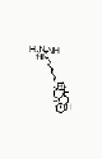 C[C@]12CCCC[C@H]1CC[C@H]1[C@H]3CC[C@@H](/C=C/C=C/C=N/NC(=N)N)[C@@]3(C)CC[C@@H]12